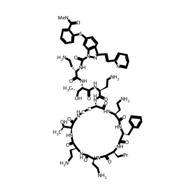 CNC(=O)c1ccccc1Sc1ccc2c(/C=C/c3ccccn3)nn(C(=O)N[C@@H](CCN)C(=O)N[C@H](C(=O)N[C@@H](CCN)C(=O)N[C@H]3CCNC(=O)[C@H]([C@@H](C)O)NC(=O)[C@H](CCN)NC(=O)[C@H](CCN)NC(=O)[C@H](CC(C)C)NC(=O)[C@@H](Cc4ccccc4)NC(=O)[C@H](CCN)NC3=O)[C@@H](C)O)c2c1